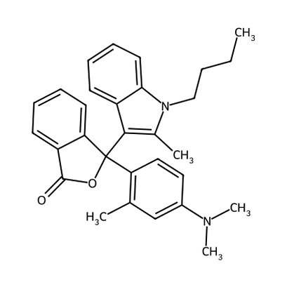 CCCCn1c(C)c(C2(c3ccc(N(C)C)cc3C)OC(=O)c3ccccc32)c2ccccc21